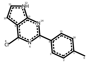 Cc1ccc(-c2nc(Cl)c3cc[nH]c3n2)cc1